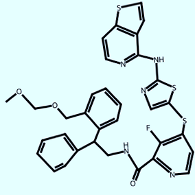 COCOCc1ccccc1C(CNC(=O)c1nccc(Sc2cnc(Nc3nccc4sccc34)s2)c1F)c1ccccc1